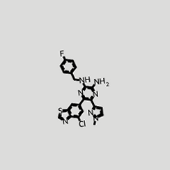 Cn1ccc(-c2nc(N)c(NCc3ccc(F)cc3)nc2-c2cc(Cl)c3ncsc3c2)n1